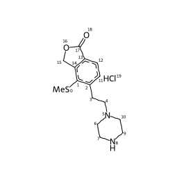 CSc1c(CCN2CCNCC2)ccc2c1COC2=O.Cl